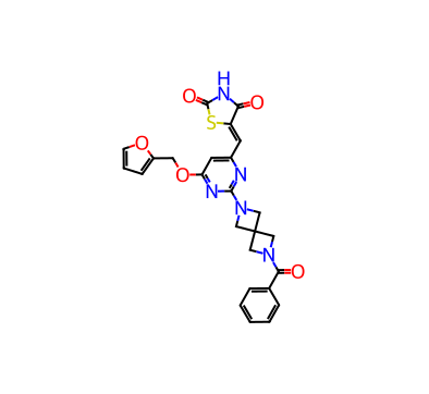 O=C1NC(=O)/C(=C/c2cc(OCc3ccco3)nc(N3CC4(CN(C(=O)c5ccccc5)C4)C3)n2)S1